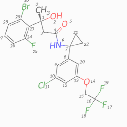 C[C@@](O)(CC(=O)NC1(c2cc(Cl)cc(OCC(F)(F)F)c2)CC1)c1c(F)cccc1Br